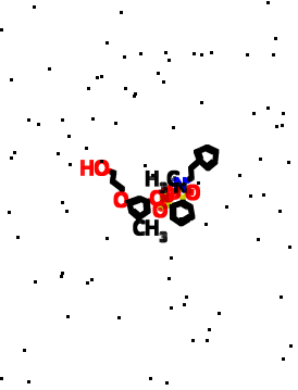 Cc1cc(OCCCO)cc(OS(=O)(=O)c2ccccc2S(=O)(=O)N(C)CCc2ccccc2)c1